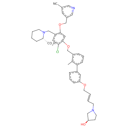 Cc1c(COc2cc(OCc3cncc(C#N)c3)c(CN3CCCC[C@H]3C(=O)O)cc2Cl)cccc1-c1cccc(OC/C=C/CN2CC[C@@H](O)C2)c1